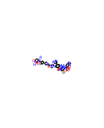 COc1cc(N2CCN(C(=O)CN3CCC(c4ccc(C(=O)NC5CCC(=O)NC5=O)c(F)c4)CC3)CC2)c(-c2cnn(C)c2)cc1Nc1ncc(Br)c(Nc2ccc3nccnc3c2P(=O)(OC)OC)n1